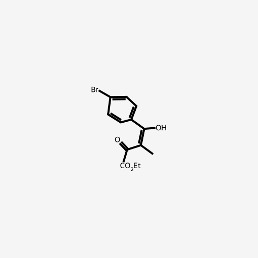 CCOC(=O)C(=O)C(C)=C(O)c1ccc(Br)cc1